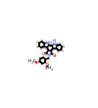 COc1ccc(CN2C(=O)c3c(c4c5ccccc5[nH]c4c4[nH]c5ccccc5c34)C2=O)c(OC)c1